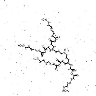 CCCCCCCCCCCCSSSCC(CC)OC(=O)CCN(CCCN(C)CCCN(CCC(=O)OC(CC)CSSSCCCCCCCCCCCC)CCC(=O)OC(CC)CSSSCCCCCCCCCCCC)CCC(=O)OC(CC)CSSSCCCCCCCCCCCC